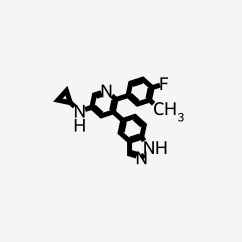 Cc1cc(-c2ncc(NC3CC3)cc2-c2ccc3[nH]ncc3c2)ccc1F